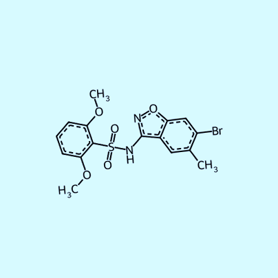 COc1cccc(OC)c1S(=O)(=O)Nc1noc2cc(Br)c(C)cc12